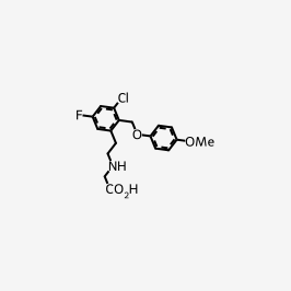 COc1ccc(OCc2c(Cl)cc(F)cc2CCNCC(=O)O)cc1